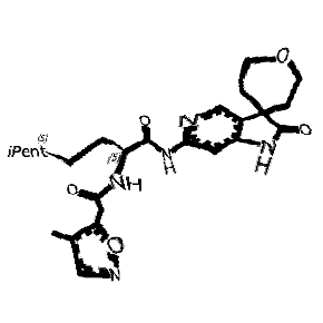 CCC[C@H](C)CC[C@H](NC(=O)c1oncc1C)C(=O)Nc1cc2c(cn1)C1(CCOCC1)C(=O)N2